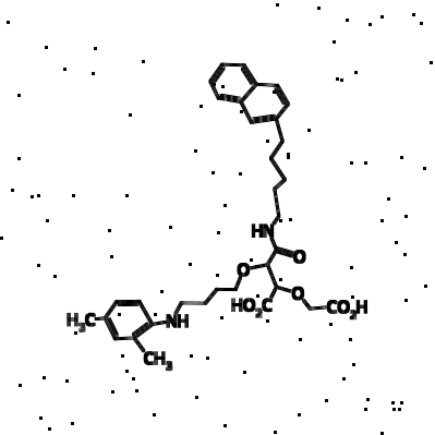 Cc1ccc(NCCCCOC(C(=O)NCCCCCc2ccc3ccccc3c2)C(OCC(=O)O)C(=O)O)c(C)c1